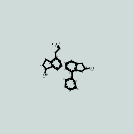 C=CCc1cccc2c1CCC2O.OC1Cc2cccc(-c3ccccc3)c2C1